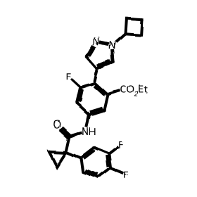 CCOC(=O)c1cc(NC(=O)C2(c3ccc(F)c(F)c3)CC2)cc(F)c1-c1cnn(C2CCC2)c1